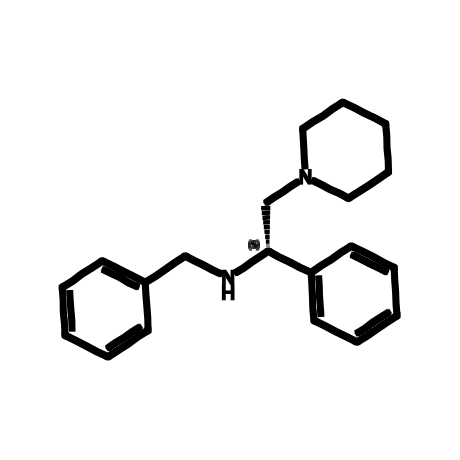 c1ccc(CN[C@H](CN2CCCCC2)c2ccccc2)cc1